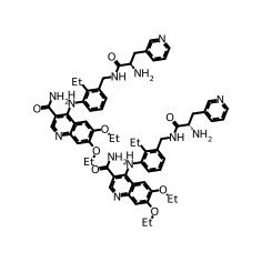 CCOc1cc2ncc(C(N)=O)c(Nc3cccc(CNC(=O)[C@@H](N)Cc4cccnc4)c3CC)c2cc1OCC.CCOc1cc2ncc(C(N)=O)c(Nc3cccc(CNC(=O)[C@H](N)Cc4cccnc4)c3CC)c2cc1OCC